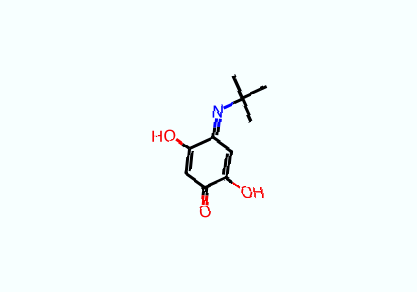 CC(C)(C)/N=C1\C=C(O)C(=O)C=C1O